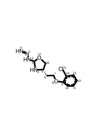 N=NNC1N[C@@H](CCOc2ccccc2Cl)CO1